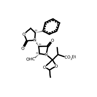 CCOC(=O)C(C)C1(N2C(=O)[C@@H](N3C(=O)OC[C@@H]3c3ccccc3)[C@H]2C=O)OC(C)O1